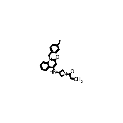 C=CC(=O)N1CC(Nc2cc(=O)n(Cc3ccc(F)cc3)c3ccccc23)C1